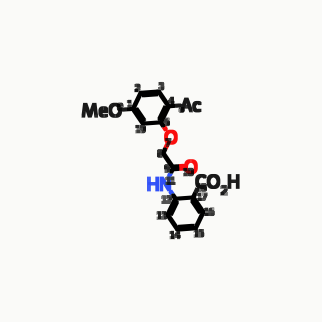 COc1ccc(C(C)=O)c(OCC(=O)Nc2ccccc2C(=O)O)c1